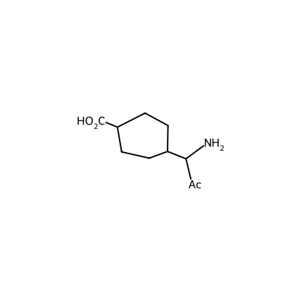 CC(=O)C(N)C1CCC(C(=O)O)CC1